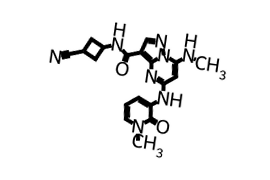 CNc1cc(Nc2cccn(C)c2=O)nc2c(C(=O)NC3CC(C#N)C3)cnn12